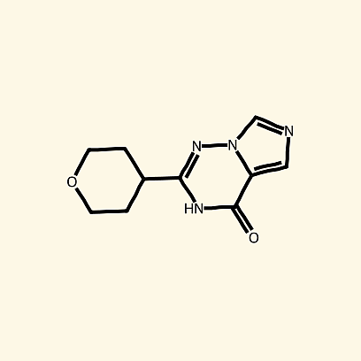 O=c1[nH]c(C2CCOCC2)nn2cncc12